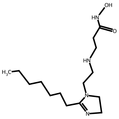 CCCCCCCC1=NCCN1CCNCCC(=O)NO